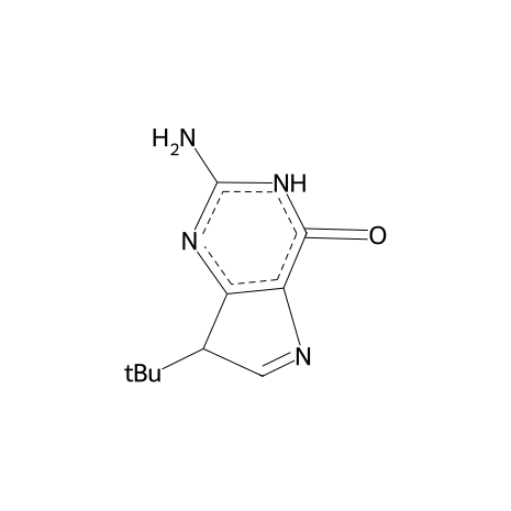 CC(C)(C)C1C=Nc2c1nc(N)[nH]c2=O